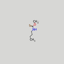 [CH2]OC(=S)NCCCC